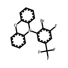 Fc1cc(C(F)(F)F)cc(N2c3ccccc3Oc3ccccc32)c1Br